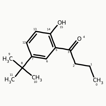 CCCC(=O)c1cc(C(C)(C)C)ccc1O